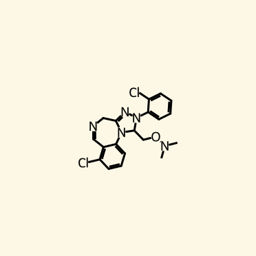 CN(C)OCC1N(c2ccccc2Cl)N=C2CN=Cc3c(Cl)cccc3N21